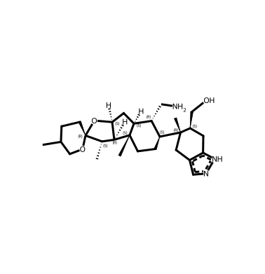 CC1CC[C@@]2(OC1)O[C@H]1C[C@H]3[C@H](CN)[C@@H]([C@@]4(C)Cc5cn[nH]c5C[C@@H]4CO)CC[C@]3(C)[C@H]1[C@@H]2C